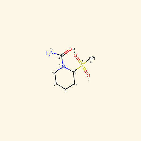 CCCS(=O)(=O)C1[CH]CCCN1C(N)=O